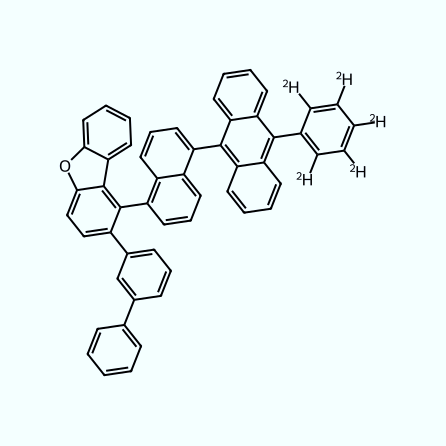 [2H]c1c([2H])c([2H])c(-c2c3ccccc3c(-c3cccc4c(-c5c(-c6cccc(-c7ccccc7)c6)ccc6oc7ccccc7c56)cccc34)c3ccccc23)c([2H])c1[2H]